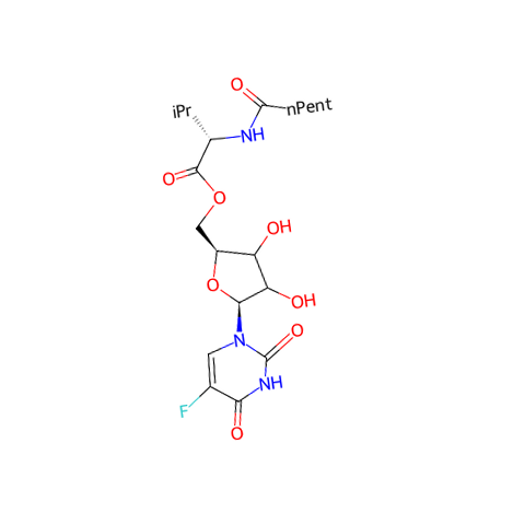 CCCCCC(=O)N[C@H](C(=O)OC[C@@H]1O[C@H](n2cc(F)c(=O)[nH]c2=O)C(O)C1O)C(C)C